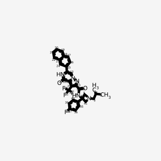 CC(C)CN1CC(NC(=O)c2nn3cc(-c4ccc5ccccc5c4)[nH]c(=O)c3c2C(F)(F)F)(c2ccc(F)cc2)C1